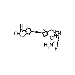 NC/C(=C\F)Cn1ncn(Cc2ccc(C#Cc3ccc4c(c3)CCC(=O)N4)s2)c1=O